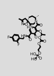 CC1=NO[C@@]2(CC[C@H](C)N3C[C@H]2n2cc(C(=O)NCc4ccc(F)cc4F)c(=O)c(OC(C)OC(=O)OCCOP(=O)(O)O)c2C3=O)C1